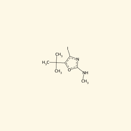 CNc1nc(I)c(C(C)(C)C)o1